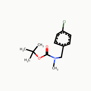 CN(Cc1ccc(Cl)cc1)C(=O)OC(C)(C)C